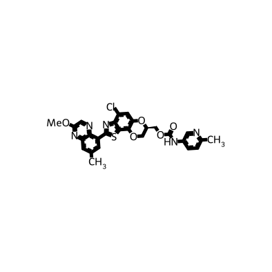 COc1cnc2c(-c3nc4c(Cl)cc5c(c4s3)OC[C@H](COC(=O)Nc3ccc(C)nc3)O5)cc(C)cc2n1